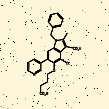 CCc1c(OCCCC(=O)O)c(-c2cccnc2)cc2c1c(C(=O)O)c(C)n2Cc1ccccc1